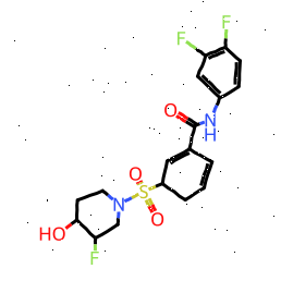 O=C(Nc1ccc(F)c(F)c1)C1=CC(S(=O)(=O)N2CCC(O)C(F)C2)CC=C1